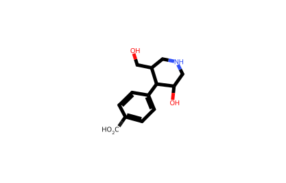 O=C(O)c1ccc(C2C(O)CNCC2CO)cc1